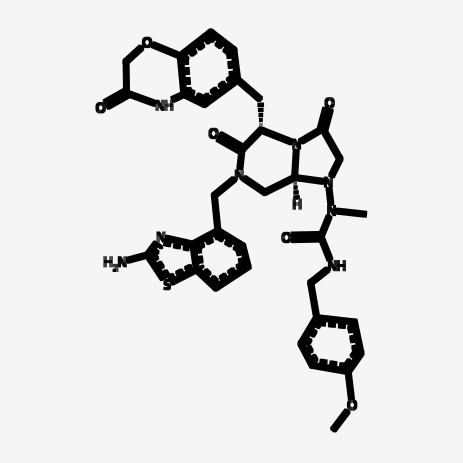 COc1ccc(CNC(=O)N(C)N2CC(=O)N3[C@@H](Cc4ccc5c(c4)NC(=O)CO5)C(=O)N(Cc4cccc5sc(N)nc45)C[C@@H]32)cc1